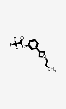 CCCN1CC(c2cccc(OC(=O)C(F)(F)F)c2)C1